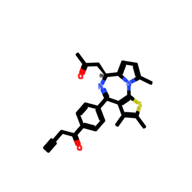 C#CCC(=O)c1ccc(C2=N[C@@H](CC(C)=O)c3ccc(C)n3-c3sc(C)c(C)c32)cc1